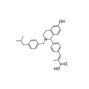 C/C(=C\c1ccc(C2c3ccc(O)cc3CCN2Cc2ccc(CC(C)C)cc2)cc1)C(=O)O